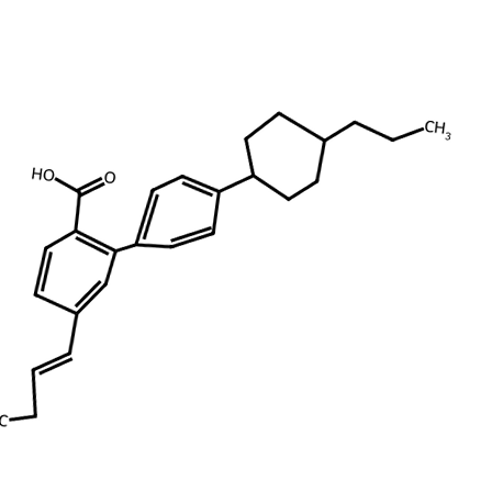 CC/C=C/c1ccc(C(=O)O)c(-c2ccc(C3CCC(CCC)CC3)cc2)c1